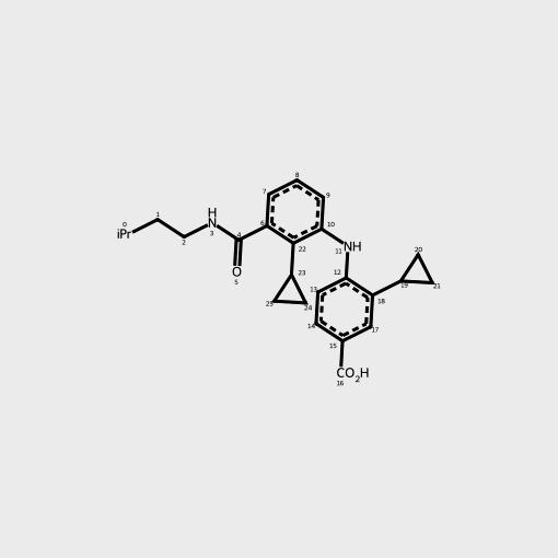 CC(C)CCNC(=O)c1cccc(Nc2ccc(C(=O)O)cc2C2CC2)c1C1CC1